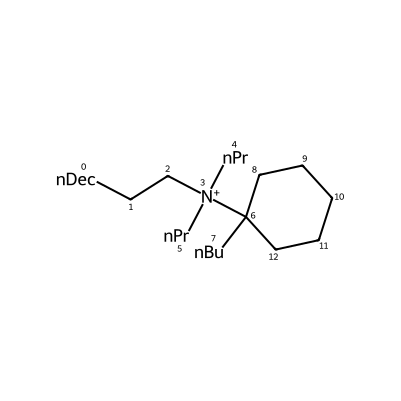 CCCCCCCCCCCC[N+](CCC)(CCC)C1(CCCC)CCCCC1